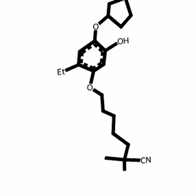 CCc1cc(OC2CCCC2)c(O)cc1OCCCCCC(C)(C)C#N